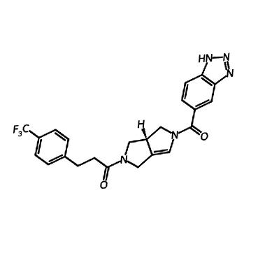 O=C(c1ccc2[nH]nnc2c1)N1C=C2CN(C(=O)CCc3ccc(C(F)(F)F)cc3)C[C@@H]2C1